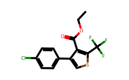 CCOC(=O)c1c(-c2ccc(Cl)cc2)csc1C(F)(F)F